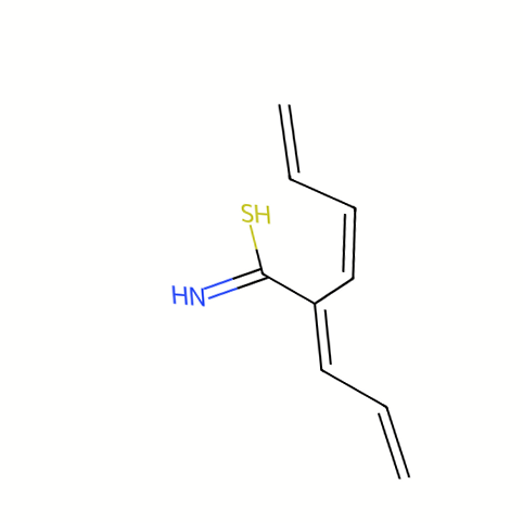 C=C/C=C\C(=C/C=C)C(=N)S